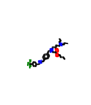 CCCCOC(=O)CN(CCCCN(CCC)CCC)Cc1ccc(CN=Cc2ccc(C(F)(F)F)cc2)cc1